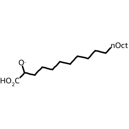 CCCCCCCCCCCCCCCCCC([O])C(=O)O